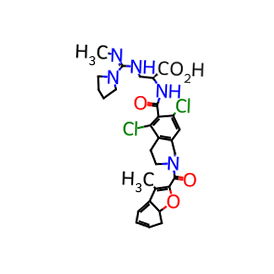 C/N=C(/NC[C@H](NC(=O)c1c(Cl)cc2c(c1Cl)CCN(C(=O)C1=C(C)C3=CC=CCC3O1)C2)C(=O)O)N1CCCC1